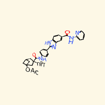 CCCC1(C(=O)Nc2ccc(-c3nc4cc(C(=O)Nc5ccccn5)ccc4[nH]3)cc2)CC2CC(OC(C)=O)(C2)C1